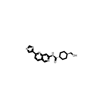 O=C(Nc1cc2nc(-c3cncs3)ccc2cn1)[C@H]1CC[C@H](CO)CC1